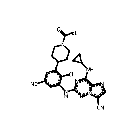 CCC(=O)N1CCC(c2cc(C#N)cc(Nc3nc(NC4CC4)c4ncc(C#N)n4n3)c2Cl)CC1